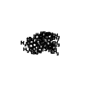 Cc1cc2c(cc1N1c3cc(C(C)(C)C)ccc3B3c4sc5cc6c(cc5c4N(c4cc5c(cc4-c4ccccc4)C(C)(C)CCC5(C)C)c4cc(-n5c7cc(C(C)(C)C)ccc7c7ccc(C(C)(C)C)cc75)cc1c43)C1(C)CCC6(C)C1)C(C)(C)CCC2(C)C